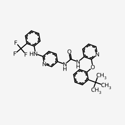 CC(C)(C)c1ccccc1Oc1ncccc1NC(=O)Nc1ccc(Nc2ccccc2C(F)(F)F)nc1